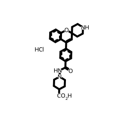 Cl.O=C(NN1CCC(C(=O)O)CC1)c1ccc(C2=CC3(CCNCC3)Oc3ccccc32)cc1